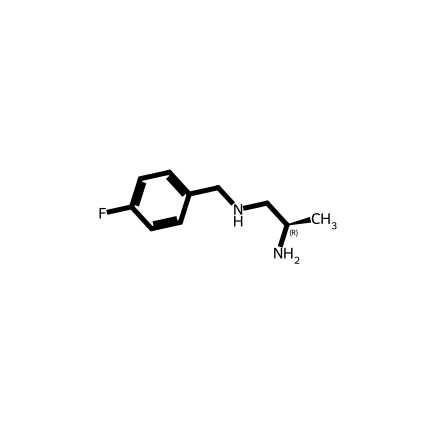 C[C@@H](N)CNCc1ccc(F)cc1